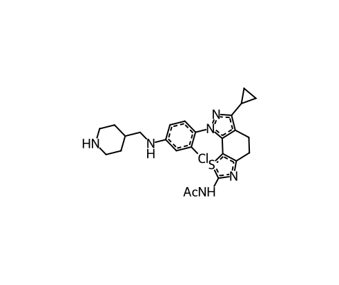 CC(=O)Nc1nc2c(s1)-c1c(c(C3CC3)nn1-c1ccc(NCC3CCNCC3)cc1Cl)CC2